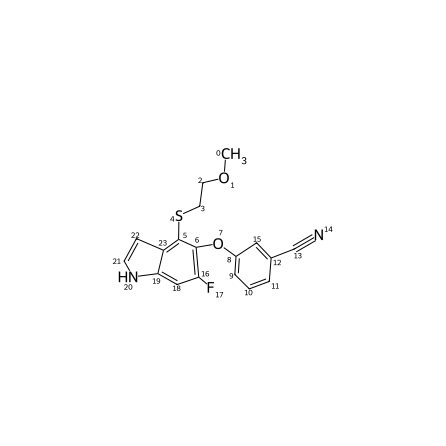 COCCSc1c(Oc2cccc(C#N)c2)c(F)cc2[nH]ccc12